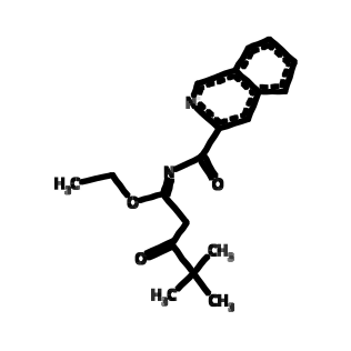 CCO/C(CC(=O)C(C)(C)C)=N/C(=O)c1cc2ccccc2cn1